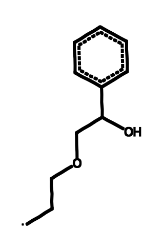 [CH2]CCOCC(O)c1ccccc1